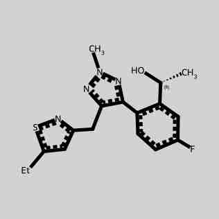 CCc1cc(Cc2nn(C)nc2-c2ccc(F)cc2[C@@H](C)O)ns1